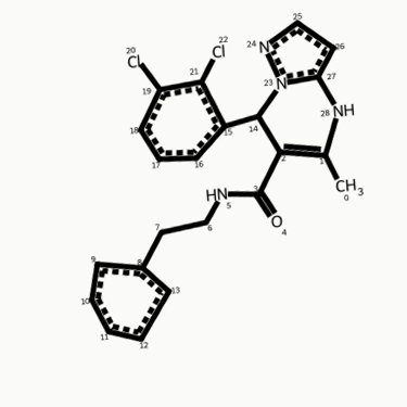 CC1=C(C(=O)NCCc2ccccc2)C(c2cccc(Cl)c2Cl)n2nccc2N1